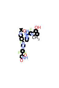 CCc1cccc2cc(O)cc(-c3ncc4c(N5CC6CCC(C5)N6)nc(OCC5(CN6CCC7(CC6)CCC(F)(CN6CCN(c8cc(F)c(C9CCC(=O)NC9=O)c(F)c8)CC6)CC7)CC5)nc4c3F)c12